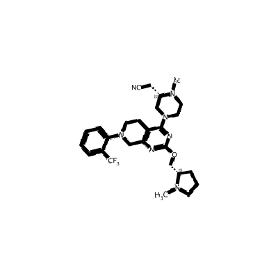 CC(=O)N1CCN(c2nc(OC[C@@H]3CCCN3C)nc3c2CCN(c2ccccc2C(F)(F)F)C3)C[C@@H]1CC#N